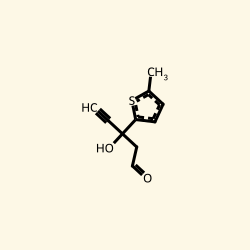 C#CC(O)(CC=O)c1ccc(C)s1